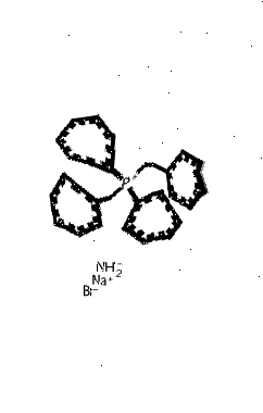 [Br-].[NH2-].[Na+].c1ccc(C[P+](c2ccccc2)(c2ccccc2)c2ccccc2)cc1